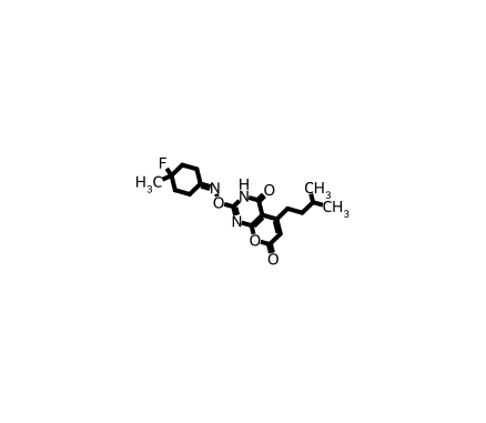 CC(C)CCc1cc(=O)oc2nc(ON=C3CCC(C)(F)CC3)[nH]c(=O)c12